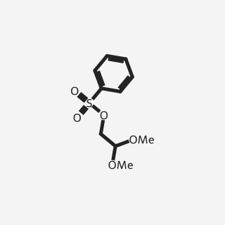 COC(COS(=O)(=O)c1ccccc1)OC